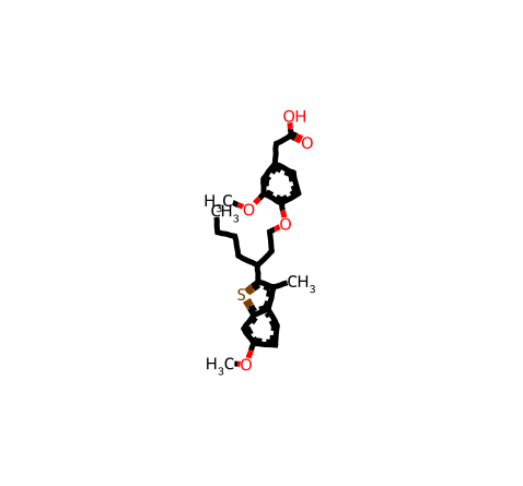 CCCCC(CCOc1ccc(CC(=O)O)cc1OC)c1sc2cc(OC)ccc2c1C